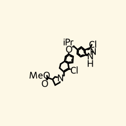 COC(=O)C1CCN(CC2=C(Cl)c3ccc(OC(c4ccc5[nH]nc(Cl)c5c4)C(C)C)cc3CC2)C1